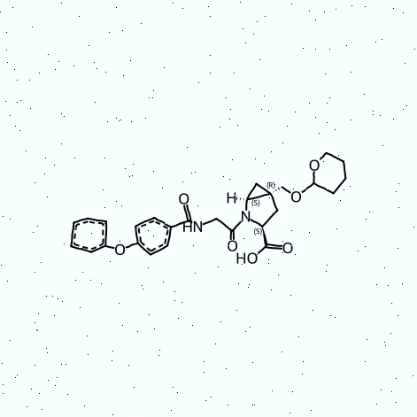 O=C(NCC(=O)N1[C@H]2C[C@@]2(COC2CCCCO2)C[C@H]1C(=O)O)c1ccc(Oc2ccccc2)cc1